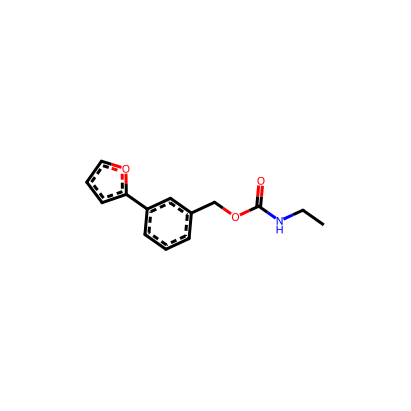 CCNC(=O)OCc1cccc(-c2ccco2)c1